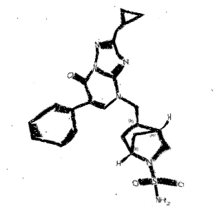 NS(=O)(=O)N1C[C@@H]2C[C@H]1C[C@H]2Cn1cc(-c2ccccc2)c(=O)n2nc(C3CC3)nc12